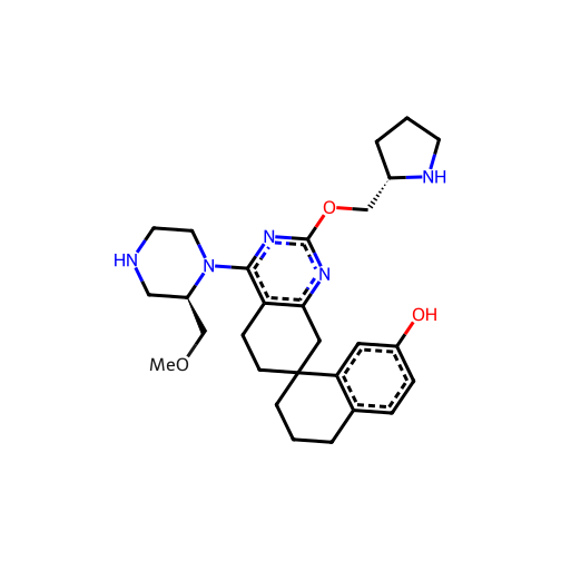 COC[C@H]1CNCCN1c1nc(OC[C@@H]2CCCN2)nc2c1CCC1(CCCc3ccc(O)cc31)C2